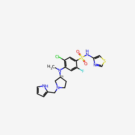 CN(c1cc(F)c(S(=O)(=O)Nc2cscn2)cc1Cl)[C@H]1CCN(Cc2ccc[nH]2)C1